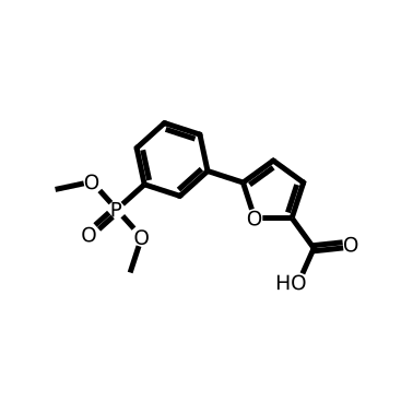 COP(=O)(OC)c1cccc(-c2ccc(C(=O)O)o2)c1